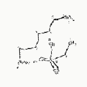 CCCCCCCCCCCCN.CCS(=O)(=O)O